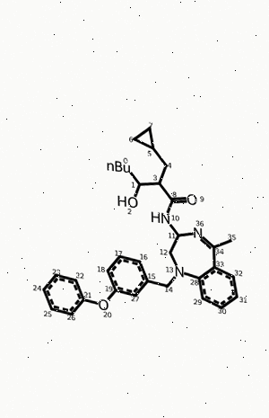 CCCCC(O)C(CC1CC1)C(=O)NC1CN(Cc2cccc(Oc3ccccc3)c2)c2ccccc2C(C)=N1